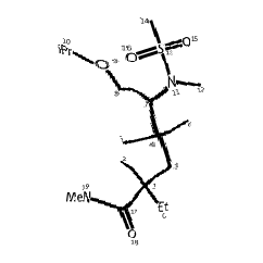 CCC(C)(CC(C)(C)C(COC(C)C)N(C)S(C)(=O)=O)C(=O)NC